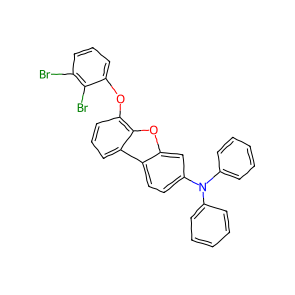 Brc1cccc(Oc2cccc3c2oc2cc(N(c4ccccc4)c4ccccc4)ccc23)c1Br